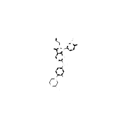 C=CCn1c(=O)c2cnc(Nc3ccc(N4CCN[C@H](C)C4)c(C)c3)nc2n1-c1ccc(=O)n(C(C)C)n1